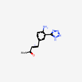 CNC(=O)/C=C/c1ccc(N)c(-c2nnn[nH]2)c1